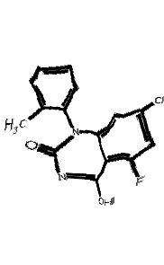 Cc1ccccc1-n1c(=O)nc(O)c2c(F)cc(Cl)cc21